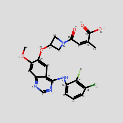 COc1cc2ncnc(Nc3cccc(Cl)c3F)c2cc1OC1CN(C(=O)C=C(C)C(=O)O)C1